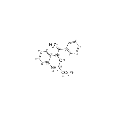 C=C(c1ccccc1)N(OCC(=O)OCC)c1ccccc1N